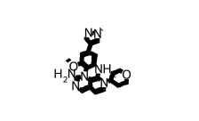 COc1cc(-c2cnn(C)c2)ccc1N1C(N)=NC=C2C=CN(C3CCOCC3)C(N)=C21